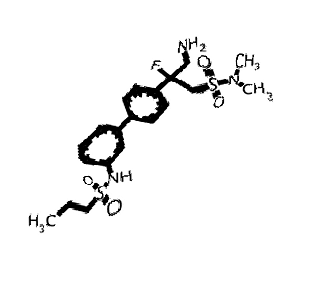 CCCS(=O)(=O)Nc1cccc(-c2ccc(C(F)(CN)CS(=O)(=O)N(C)C)cc2)c1